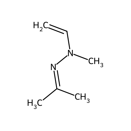 C=CN(C)N=C(C)C